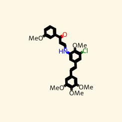 COc1cccc(C(=O)C=CNc2cc(C=Cc3cc(OC)c(OC)c(OC)c3)cc(Cl)c2OC)c1